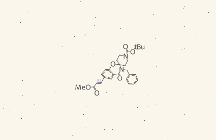 COC(=O)/C=C/c1ccc2c(c1)C(=O)N(Cc1ccccc1)C1(CCN(C(=O)OC(C)(C)C)CC1)O2